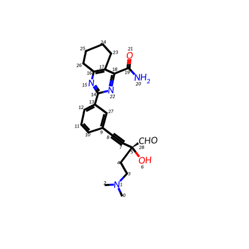 CN(C)CC[C@@](O)(C#Cc1cccc(-c2nc3c(c(C(N)=O)n2)CCCC3)c1)C=O